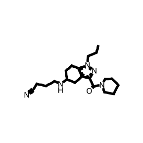 CCCn1nc(C(=O)N2CCCCC2)c2c1CCC(NCCCC#N)C2